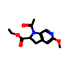 CCOC(=O)C1Cc2cc(OC)ncc2N1C(C)=O